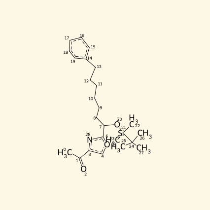 CC(=O)c1coc(C(CCCCCCc2ccccc2)O[Si](C)(C)C(C)(C)C)n1